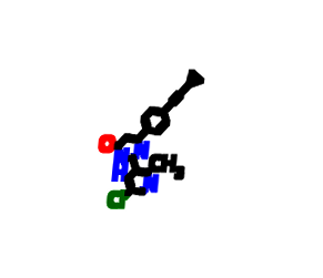 Cc1ncc(Cl)cc1-c1nc(-c2ccc(C#CC3CC3)cc2)cc(=O)[nH]1